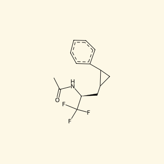 CC(=O)N[C@@H](CC1CC1c1ccccc1)C(F)(F)F